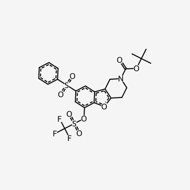 CC(C)(C)OC(=O)N1CCc2oc3c(OS(=O)(=O)C(F)(F)F)cc(S(=O)(=O)c4ccccc4)cc3c2C1